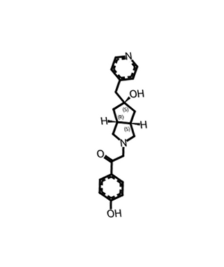 O=C(CN1C[C@@H]2C[C@](O)(Cc3ccncc3)C[C@@H]2C1)c1ccc(O)cc1